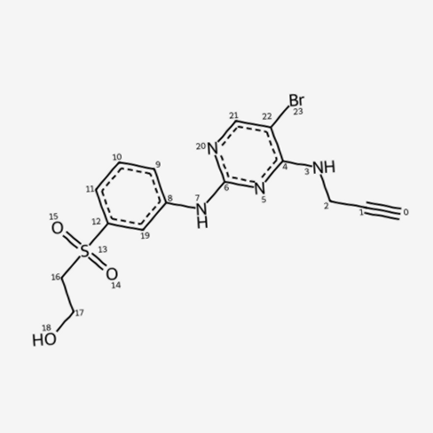 C#CCNc1nc(Nc2cccc(S(=O)(=O)CCO)c2)ncc1Br